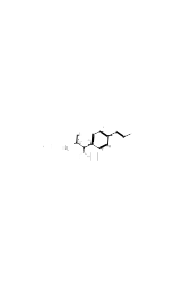 CC=Cc1ccc(C(O)C(C)C=O)cc1